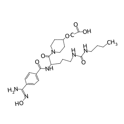 CCCCNC(=O)NCCCC(NC(=O)c1ccc(/C(N)=N/O)cc1)C(=O)N1CCC(OCC(=O)O)CC1